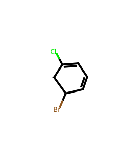 ClC1=CC=CC(Br)[CH]1